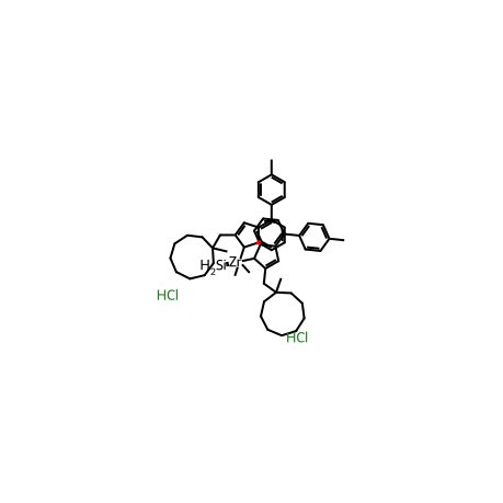 Cc1ccc(-c2cccc3c2C=C(CC2(C)CCCCCCCC2)[CH]3[Zr]([CH3])([CH3])(=[SiH2])[CH]2C(CC3(C)CCCCCCCC3)=Cc3c(-c4ccc(C)cc4)cccc32)cc1.Cl.Cl